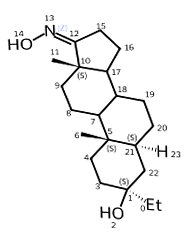 CC[C@]1(O)CC[C@]2(C)C3CC[C@]4(C)/C(=N\O)CCC4C3CC[C@H]2C1